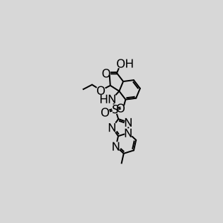 CCOC(C)C1(NS(=O)(=O)c2nc3nc(C)ccn3n2)C(C)=CC=CC1C(=O)O